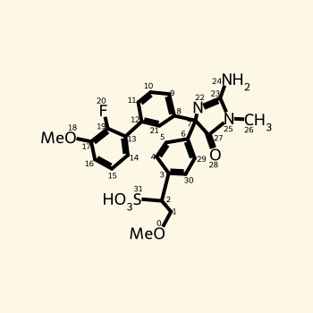 COCC(c1ccc(C2(c3cccc(-c4cccc(OC)c4F)c3)N=C(N)N(C)C2=O)cc1)S(=O)(=O)O